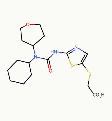 O=C(O)CSc1cnc(NC(=O)N(C2CCCCC2)C2CCOCC2)s1